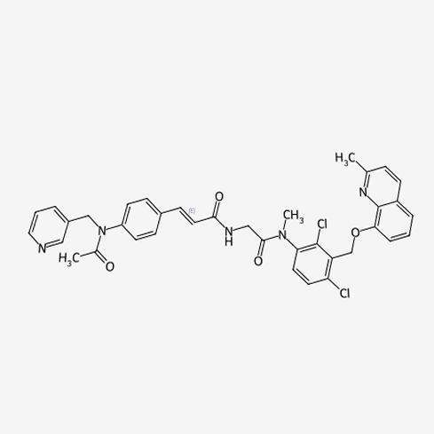 CC(=O)N(Cc1cccnc1)c1ccc(/C=C/C(=O)NCC(=O)N(C)c2ccc(Cl)c(COc3cccc4ccc(C)nc34)c2Cl)cc1